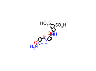 NC(=O)Nc1cccc(C(=O)Nc2cccc(C(=O)Nc3ccc4c(S(=O)(=O)O)cc(S(=O)(=O)O)cc4c3)c2)c1